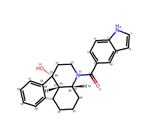 O=C(c1ccc2[nH]ccc2c1)N1CC[C@](O)(c2ccccc2)[C@H]2CCCC[C@H]21